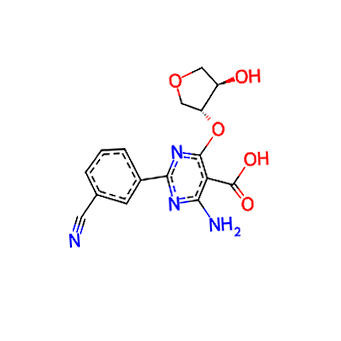 N#Cc1cccc(-c2nc(N)c(C(=O)O)c(O[C@@H]3COC[C@H]3O)n2)c1